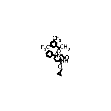 C[C@@H](OC[C@@]1(c2ccccc2)CC[C@]2(COCC3CC3)CN1CC(=O)N2)c1cc(C(F)(F)F)cc(C(F)(F)F)c1